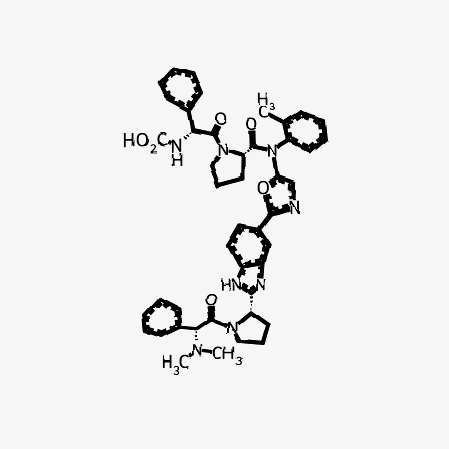 Cc1ccccc1N(C(=O)[C@@H]1CCCN1C(=O)[C@H](NC(=O)O)c1ccccc1)c1cnc(-c2ccc3[nH]c([C@@H]4CCCN4C(=O)[C@@H](c4ccccc4)N(C)C)nc3c2)o1